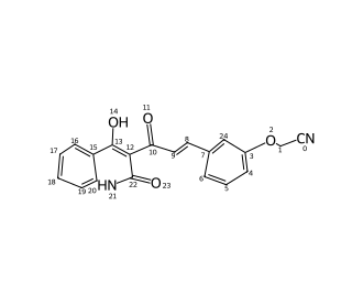 N#CCOc1cccc(C=CC(=O)c2c(O)c3ccccc3[nH]c2=O)c1